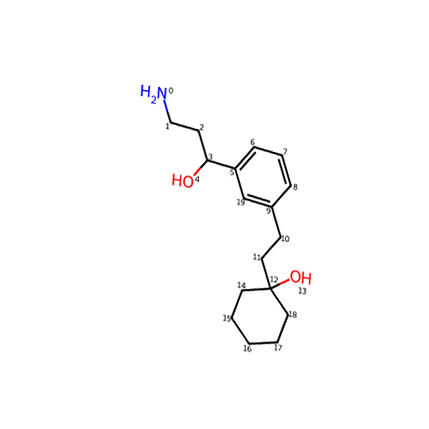 NCCC(O)c1cccc(CCC2(O)CCCCC2)c1